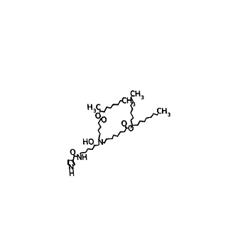 CCCCCCCCC(CCCCCCCC)OC(=O)CCCCCCCN(CCCCCC(=O)OC(C)CCCCCCC)CC(O)CCCCNC(=O)c1cc[nH]c1